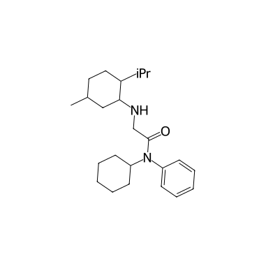 CC1CCC(C(C)C)C(NCC(=O)N(c2ccccc2)C2CCCCC2)C1